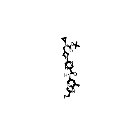 CC(C)(C)OC(=O)N(CC1CN(c2cnc(C(=O)Nc3cc(F)c4nc(CF)cn4c3)cn2)C1)C1CC1